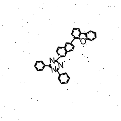 c1ccc(-c2nc(-c3ccccc3)nc(-c3ccc4cc(-c5cccc6c5oc5ccccc56)ccc4c3)n2)cc1